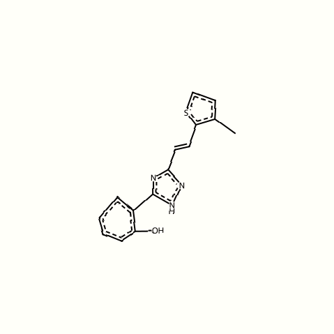 Cc1ccsc1C=Cc1n[nH]c(-c2ccccc2O)n1